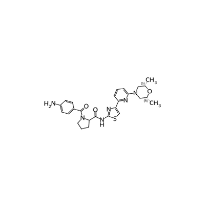 C[C@@H]1CN(c2cccc(-c3csc(NC(=O)C4CCCN4C(=O)c4ccc(N)cc4)n3)n2)C[C@H](C)O1